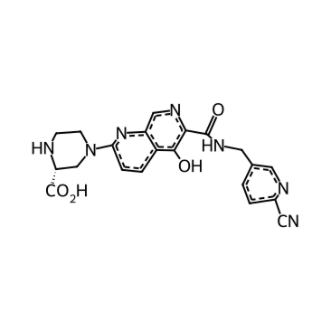 N#Cc1ccc(CNC(=O)c2ncc3nc(N4CCN[C@@H](C(=O)O)C4)ccc3c2O)cn1